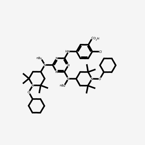 CCCCN(c1nc(Nc2ccc(Cl)c(C(=O)O)c2)nc(N(CCCC)C2CC(C)(C)N(OC3CCCCC3)C(C)(C)C2)n1)C1CC(C)(C)N(OC2CCCCC2)C(C)(C)C1